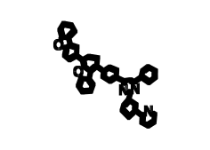 c1ccc(-c2cc(-c3ccc(-c4ccc(-c5ccc6oc7ccccc7c6c5)c5oc6ccccc6c45)cc3)nc(-c3cccc(-c4ccccn4)c3)n2)cc1